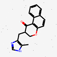 Cc1[nH]cnc1CC1COc2ccc3ccccc3c2C1=O